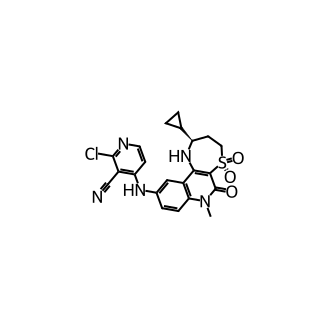 Cn1c(=O)c2c(c3cc(Nc4ccnc(Cl)c4C#N)ccc31)N[C@@H](C1CC1)CCS2(=O)=O